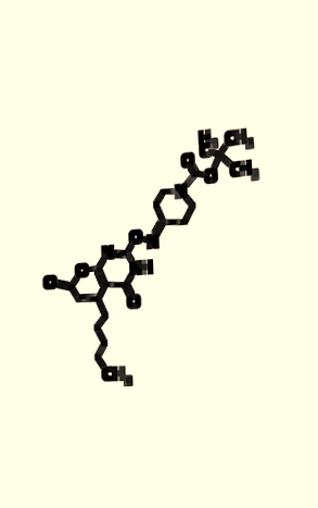 CCCCCc1cc(=O)oc2nc(ON=C3CCN(C(=O)OC(C)(C)C)CC3)[nH]c(=O)c12